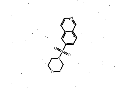 O=S(=O)(c1ccc2cnccc2c1)N1CCOCC1